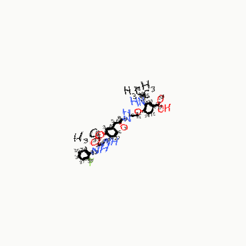 COc1cc(CC(=O)CNCCOc2ccc(C(=O)O)cc2NC(C)C)ccc1NC(=O)Nc1ccccc1F